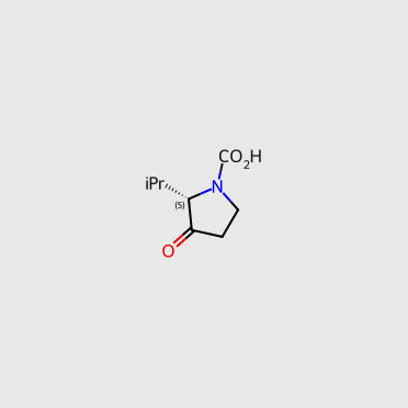 CC(C)[C@H]1C(=O)CCN1C(=O)O